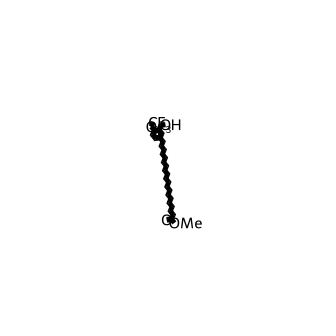 COC(=O)CCCCCCCCCCCCCCCCCCCc1ccc(OC(F)(F)F)c(CO)c1